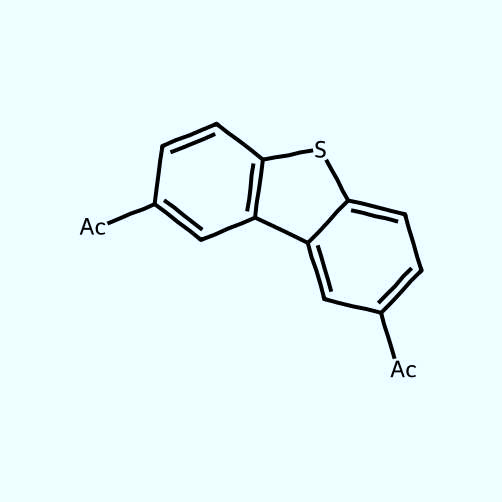 CC(=O)c1ccc2sc3ccc(C(C)=O)cc3c2c1